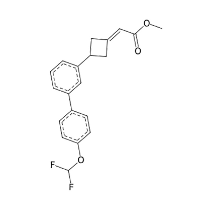 COC(=O)C=C1CC(c2cccc(-c3ccc(OC(F)F)cc3)c2)C1